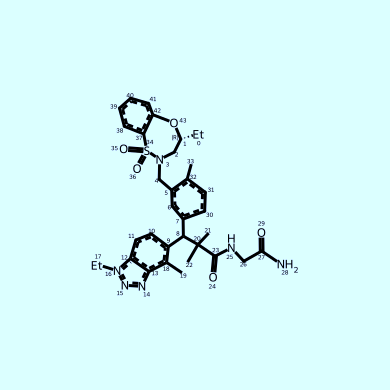 CC[C@@H]1CN(Cc2cc(C(c3ccc4c(nnn4CC)c3C)C(C)(C)C(=O)NCC(N)=O)ccc2C)S(=O)(=O)c2ccccc2O1